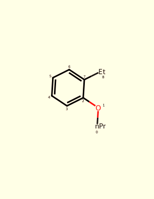 CCCOc1ccccc1CC